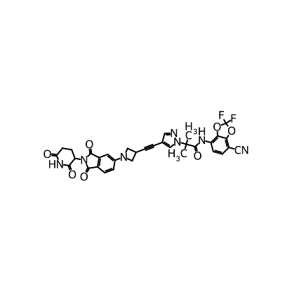 CC(C)(C(=O)Nc1ccc(C#N)c2c1OC(F)(F)O2)n1cc(C#CC2CN(c3ccc4c(c3)C(=O)N(C3CCC(=O)NC3=O)C4=O)C2)cn1